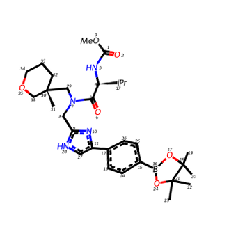 COC(=O)N[C@H](C(=O)N(Cc1nc(-c2ccc(B3OC(C)(C)C(C)(C)O3)cc2)c[nH]1)C[C@@]1(C)CCCOC1)C(C)C